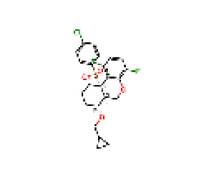 O=S(=O)(c1ccc(Cl)cc1)[C@@]12CCC[C@@H](OCC3CC3)[C@@H]1COc1c(F)ccc(F)c12